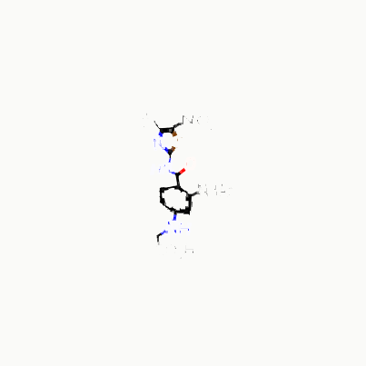 CC(=O)Nc1cc(NCC(=O)O)ccc1C(=O)Nc1nc(C)c([N+](=O)[O-])s1